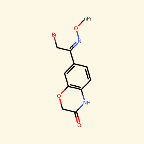 CCCO/N=C(\CBr)c1ccc2c(c1)OCC(=O)N2